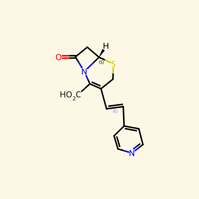 O=C(O)C1=C(/C=C/c2ccncc2)CS[C@H]2CC(=O)N12